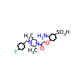 C[C@@H]1CN(Cc2ccc(F)cc2)[C@@H](C)CN1C(=O)COc1ccc(S(=O)(=O)O)cc1N